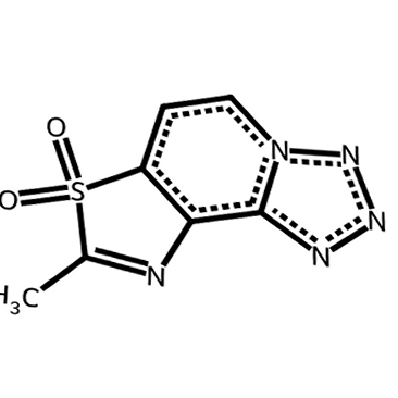 CC1=Nc2c(ccn3nnnc23)S1(=O)=O